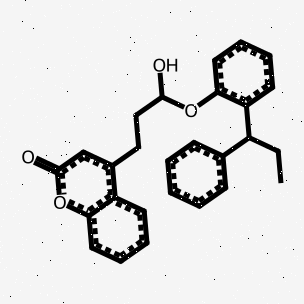 CCC(c1ccccc1)c1ccccc1OC(O)CCc1cc(=O)oc2ccccc12